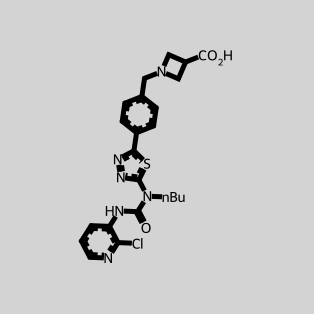 CCCCN(C(=O)Nc1cccnc1Cl)c1nnc(-c2ccc(CN3CC(C(=O)O)C3)cc2)s1